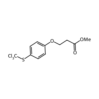 COC(=O)CCOc1ccc(SC(Cl)(Cl)Cl)cc1